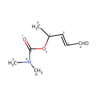 CC(C=CC=O)OC(=O)N(C)C